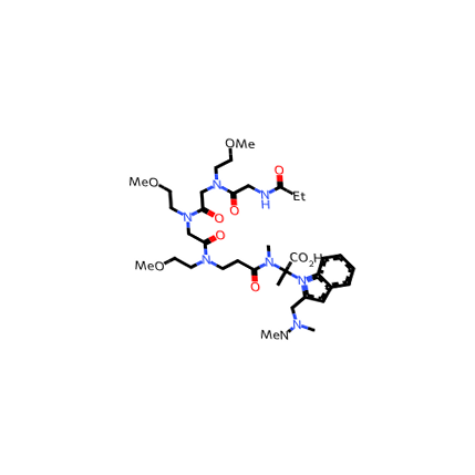 CCC(=O)NCC(=O)N(CCOC)CC(=O)N(CCOC)CC(=O)N(CCOC)CCC(=O)N(C)C(C)(C(=O)O)n1c(CN(C)NC)cc2ccccc21